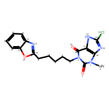 CCCn1c(=O)n(CCCCCc2nc3ccccc3o2)c(=O)c2[nH]c(Cl)nc21